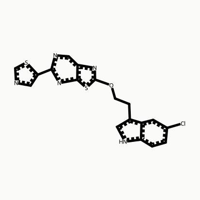 Clc1ccc2[nH]cc(CCOc3nc4cnc(-c5cncs5)nc4s3)c2c1